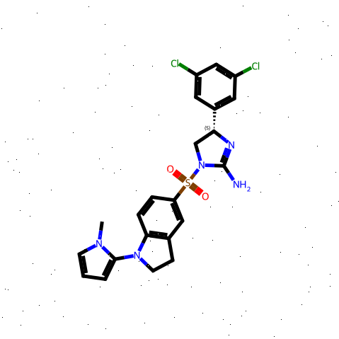 Cn1cccc1N1CCc2cc(S(=O)(=O)N3C[C@H](c4cc(Cl)cc(Cl)c4)N=C3N)ccc21